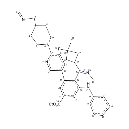 C=NCC1CCN(c2ccc(-c3cc(C(=O)OCC)nc(Nc4ccccc4)c3/C(=N\C)C3CC(F)(F)C3)cn2)CC1